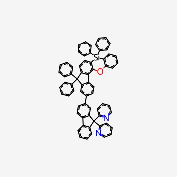 c1ccc(C2(c3ccccc3)c3cc(-c4ccc5c(c4)C(c4ccccn4)(c4ccccn4)c4ccccc4-5)ccc3-c3c2ccc2c3Oc3ccccc3[Si]2(c2ccccc2)c2ccccc2)cc1